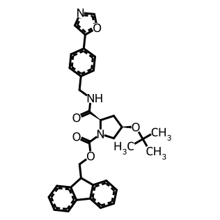 CC(C)(C)O[C@@H]1C[C@H](C(=O)NCc2ccc(-c3cnco3)cc2)N(C(=O)OCC2c3ccccc3-c3ccccc32)C1